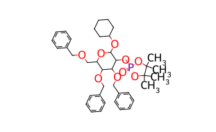 CC1(C)OP(=O)(OC2C(OC3CCCCC3)OC(COCc3ccccc3)C(OCc3ccccc3)C2OCc2ccccc2)OC1(C)C